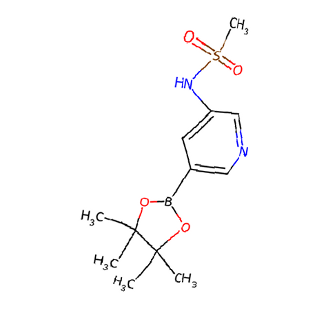 CC1(C)OB(c2cncc(NS(C)(=O)=O)c2)OC1(C)C